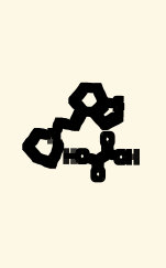 C(CN1CCCCC1)=C1CCCc2sccc21.O=C(O)C(=O)O